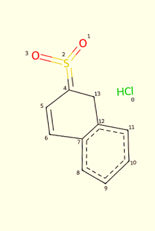 Cl.O=S(=O)=C1C=Cc2ccccc2C1